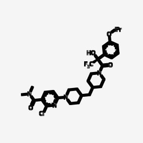 CC(C)Oc1cccc([C@@](O)(C(=O)N2CCC(CC3CCN(c4ccc(C(=O)N(C)C)c(Cl)n4)CC3)CC2)C(F)(F)F)c1